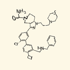 NC(=O)N1CCc2c(c(-c3ccc(Cl)c(-c4ccc(Cl)c(CNCc5ccccc5)c4)c3)nn2CCCN2CCSCC2)C1